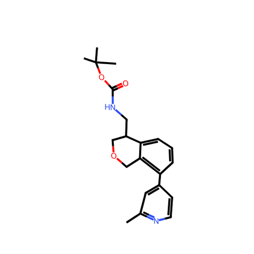 Cc1cc(-c2cccc3c2COCC3CNC(=O)OC(C)(C)C)ccn1